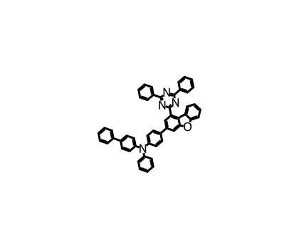 c1ccc(-c2ccc(N(c3ccccc3)c3ccc(-c4cc(-c5nc(-c6ccccc6)nc(-c6ccccc6)n5)c5c(c4)oc4ccccc45)cc3)cc2)cc1